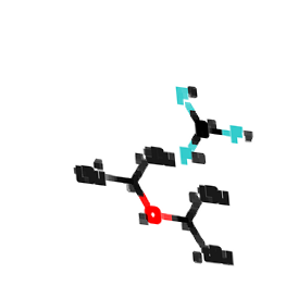 CC(C)(C)C(OC(C(C)(C)C)C(C)(C)C)C(C)(C)C.FB(F)F